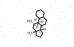 CC12CCC[C@H]1[C@@H]1CCC3CCCC[C@@H]3[C@H]1[C@@H](O)C2